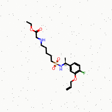 C=CCOc1cc([C@H](C)NS(=O)(=O)CCCCCNCC(=O)OCC)ccc1F